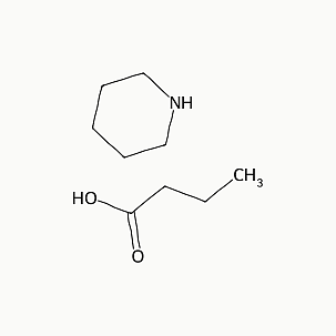 C1CCNCC1.CCCC(=O)O